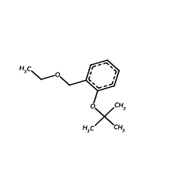 CCOCc1ccccc1OC(C)(C)C